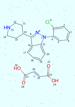 Clc1ccccc1-n1nc(C2CCNCC2)c2ccccc21.O=C(O)/C=C/C(=O)O